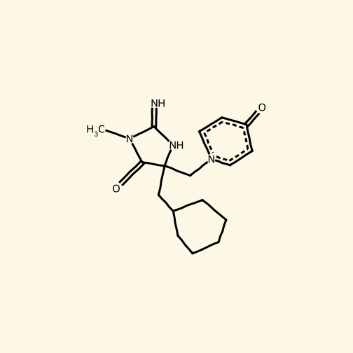 CN1C(=N)NC(CC2CCCCC2)(Cn2ccc(=O)cc2)C1=O